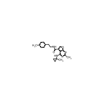 Cc1ccc(CCNC(=O)c2coc3nc(C)nc(NC4(C)CC4)c23)cc1